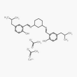 CC(=O)[O-].CC(=O)[O-].CC(C)Cc1ccc(O)c(C=NC2CCCC(N=Cc3cc(CC(C)C)ccc3O)C2)c1.[Co+2]